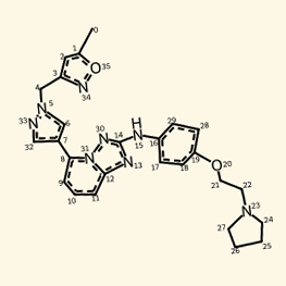 Cc1cc(Cn2cc(-c3cccc4nc(Nc5ccc(OCCN6CCCC6)cc5)nn34)cn2)no1